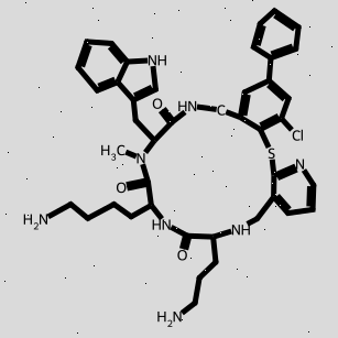 CN1C(=O)C(CCCCN)NC(=O)C(CCCN)NCc2cccnc2Sc2c(Cl)cc(-c3ccccc3)cc2CNC(=O)C1Cc1c[nH]c2ccccc12